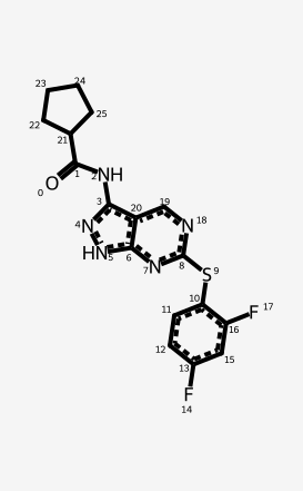 O=C(Nc1n[nH]c2nc(Sc3ccc(F)cc3F)ncc12)C1CCCC1